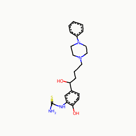 NC(=S)Nc1cc(C(O)CCCN2CCN(c3ccccc3)CC2)ccc1O